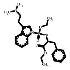 CCOC(=O)C(Cc1ccccc1)NP(=O)(OCC)n1cc(CCN(C)C)c2ccccc21